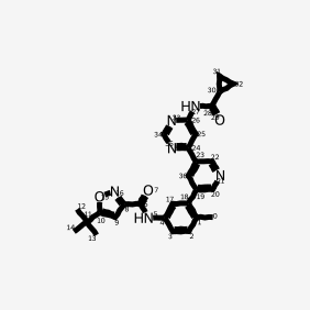 Cc1ccc(NC(=O)c2cc(C(C)(C)C)on2)cc1-c1cncc(-c2cc(NC(=O)C3CC3)ncn2)c1